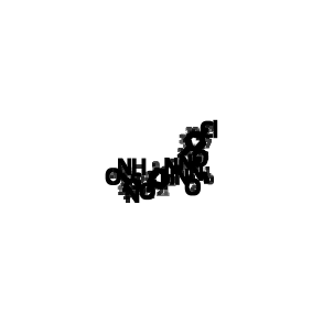 CCn1c(=O)[nH]/c(=N\c2ccc(OC3=NCC(C(N)=O)S3)cc2)n(Cc2ccc(Cl)cc2)c1=O